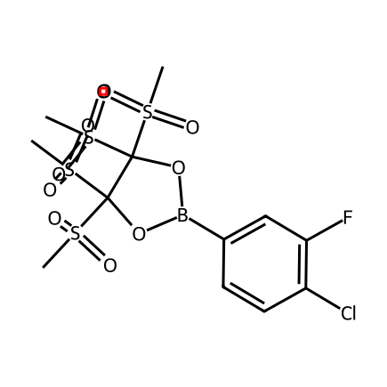 CS(=O)(=O)C1(S(C)(=O)=O)OB(c2ccc(Cl)c(F)c2)OC1(S(C)(=O)=O)S(C)(=O)=O